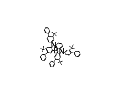 CC(C)(C)c1cc(N2c3cc(C(C)(C)C)c(-c4ccccc4)cc3B3c4cc(-c5ccccc5)c(C(C)(C)C)cc4N(c4ccc(-c5ccccc5)c(C(C)(C)C)c4)c4cccc2c43)ccc1-c1ccccc1